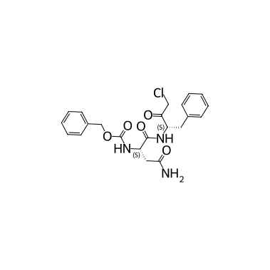 NC(=O)C[C@H](NC(=O)OCc1ccccc1)C(=O)N[C@@H](Cc1ccccc1)C(=O)CCl